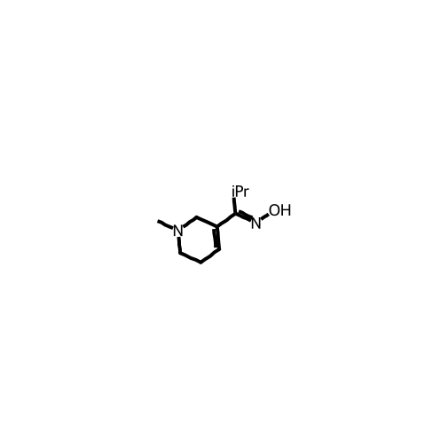 CC(C)/C(=N\O)C1=CCCN(C)C1